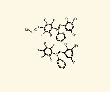 CC(C)c1cc(C=[N+](c2ccccc2)c2c(F)c(F)c(F)c(F)c2F)c([O-])c(C(C)C)c1.CC(C)c1cc(C=[N+](c2ccccc2)c2c(F)c(F)c(F)c(F)c2F)c([O-])c(C(C)C)c1.[Cl][Ti][Cl]